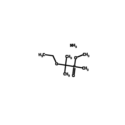 CCOC(C)(C)P(C)(=O)OC.N